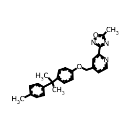 Cc1ccc(C(C)(C)c2ccc(OCc3ccnc(-c4noc(C)n4)c3)cc2)cc1